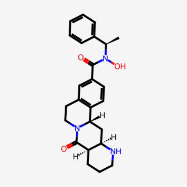 C[C@H](c1ccccc1)N(O)C(=O)c1ccc2c(c1)CCN1C(=O)[C@@H]3CCCN[C@@H]3C[C@@H]21